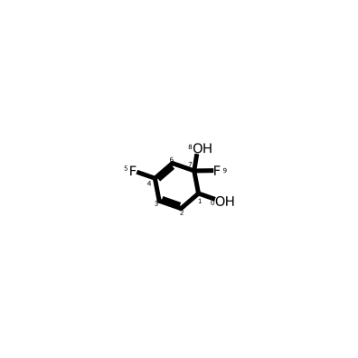 OC1C=CC(F)=CC1(O)F